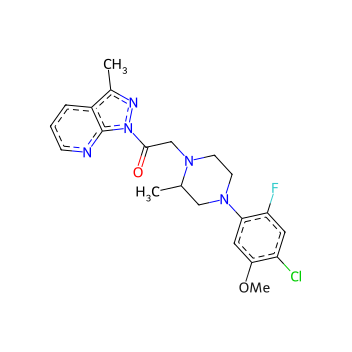 COc1cc(N2CCN(CC(=O)n3nc(C)c4cccnc43)C(C)C2)c(F)cc1Cl